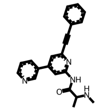 CNC(C)C(=O)Nc1cc(-c2cccnc2)cc(C#Cc2ccccc2)n1